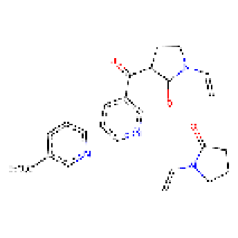 C=CN1CCC(C(=O)c2cccnc2)C1=O.C=CN1CCCC1=O.CCOC(=O)c1cccnc1